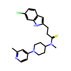 Cc1cc(N2CCC(N(C)C(=S)CCc3cc4ccc(Cl)cc4[nH]3)CC2)ccn1